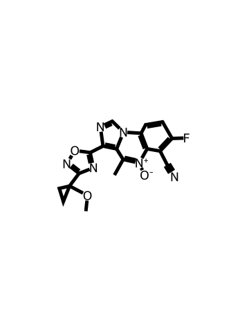 COC1(c2noc(-c3ncn4c3c(C)[n+]([O-])c3c(C#N)c(F)ccc34)n2)CC1